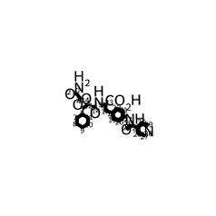 NC(=O)C1O[C@H](C2CCCCC2)[C@H](C(=O)N[C@@H](Cc2ccc(NC(=O)c3ccncc3)cc2)C(=O)O)O1